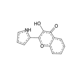 O=c1c(O)c(-c2ccc[nH]2)oc2ccccc12